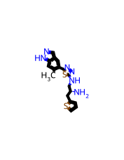 Cc1cc2[nH]ncc2cc1-c1nnc(NC[C@H](N)Cc2cccs2)s1